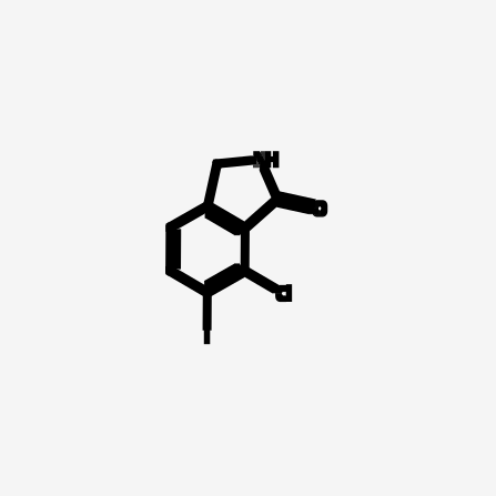 O=C1NCc2ccc(I)c(Cl)c21